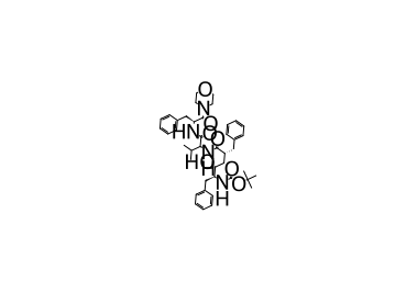 CC(C)[C@H](NC(=O)[C@H](Cc1ccccc1)C[C@H](O)[C@H](Cc1ccccc1)NC(=O)OC(C)(C)C)C(=O)N[C@@H](Cc1ccccc1)C(=O)N1CCOCC1